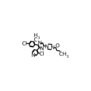 CCCC(=O)N1CCN(c2cnc(-c3ccc(Cl)cc3C)c(-c3ccncc3Cl)n2)CC1